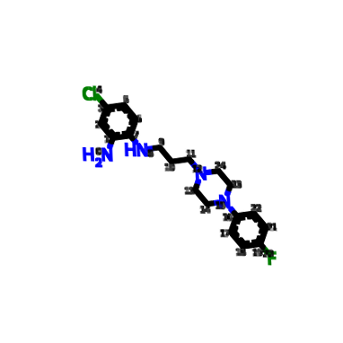 Nc1cc(Cl)ccc1NCCCN1CCN(c2ccc(F)cc2)CC1